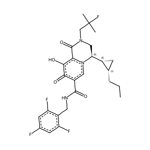 CCC[C@H]1C[C@H]1[C@@H]1CN(CC(C)(C)F)C(=O)c2c(O)c(=O)c(C(=O)NCc3c(F)cc(F)cc3F)cn21